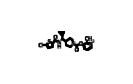 Cc1ncccc1OC(=O)N1CCC([C@H](NC(=O)c2ccc(Cl)s2)C2CC2)CC1